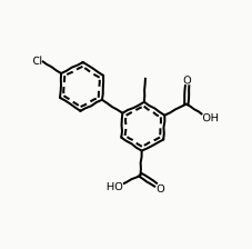 Cc1c(C(=O)O)cc(C(=O)O)cc1-c1ccc(Cl)cc1